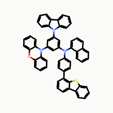 c1ccc2c(c1)Oc1ccccc1N2c1cc(N(c2ccc(-c3cccc4c3sc3ccccc34)cc2)c2cccc3ccccc23)cc(-n2c3ccccc3c3ccccc32)c1